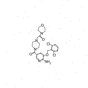 Nc1ncc(C(=O)N2CCN(CC(=O)N3CCOCC3)CC2)cc1OCc1c(Cl)cccc1Cl